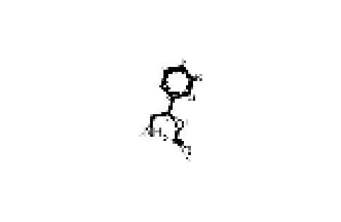 NCC(OC=O)c1ccccc1